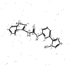 CC(C)n1cnnc1-c1cccc(NC(=O)Nc2n[nH]c3ccccc23)n1